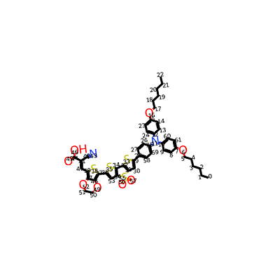 CCCCCCOc1ccc(N(c2ccc(OCCCCCC)cc2)c2ccc(-c3cc4c(s3)-c3sc(-c5sc(/C=C(\C#N)C(=O)O)c6c5OCCO6)cc3S4(=O)=O)cc2)cc1